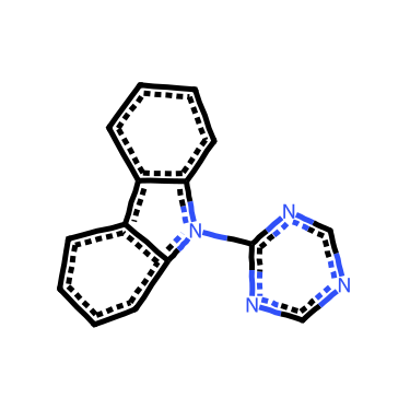 c1ccc2c(c1)c1ccccc1n2-c1ncncn1